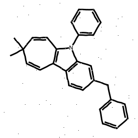 CC1(C)C=Cc2c(n(-c3ccccc3)c3cc(Cc4ccccc4)ccc23)C=C1